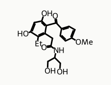 CCc1c(O)cc(O)c(C(=O)c2ccc(OC)cc2)c1CC(=O)NC(CO)CO